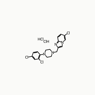 Cl.Cl.Clc1ccc(N2CCN(Cc3cn4cc(Cl)ccc4n3)CC2)c(Cl)c1